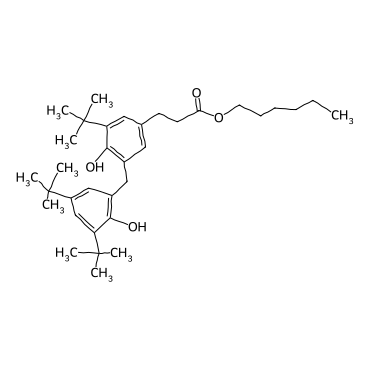 CCCCCCOC(=O)CCc1cc(Cc2cc(C(C)(C)C)cc(C(C)(C)C)c2O)c(O)c(C(C)(C)C)c1